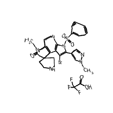 CN1C(=O)C2(CCNCC2)c2c1cnc1c2c(Br)c(-c2cnn(C)c2)n1S(=O)(=O)c1ccccc1.O=C(O)C(F)(F)F